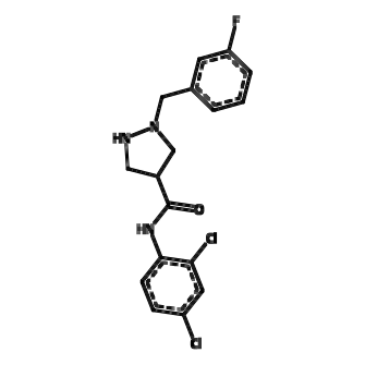 O=C(Nc1ccc(Cl)cc1Cl)C1CNN(Cc2cccc(F)c2)C1